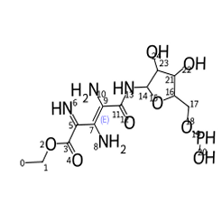 CCOC(=O)C(=N)/C(N)=C(\N)C(=O)NC1OC(COPO)C(O)C1O